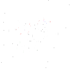 CCc1cc(Oc2ccc(C(F)(F)F)cc2Cl)cc(C(=O)OOC(C)P(=O)(OC)OC)c1[N+](=O)[O-]